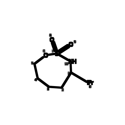 CC(C)C1CCCCOS(=O)(=O)N1